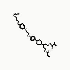 C=CC(=O)OCCC(CCOC(=O)C(=C)C)C1CCC(c2ccc(OCCOc3ccc(CCCCSSC)cc3)cc2)CC1